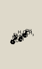 CCc1nc(-c2ccccc2)c(Oc2ccnc(Nc3ccnc(C(C)(C)O)c3)c2)s1